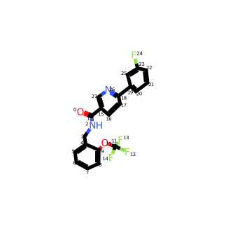 O=C(NCc1ccccc1OC(F)(F)F)c1ccc(-c2cccc(F)c2)nc1